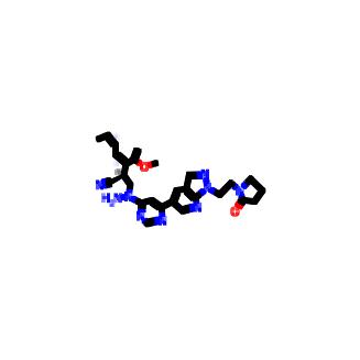 C=C(OC)/C(=C\C=C/C)[C@H](C#N)CN(N)c1cc(-c2cnc3c(cnn3CCN3CCCC3=O)c2)ncn1